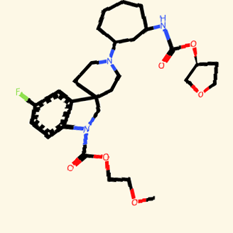 COCCOC(=O)N1CC2(CCN(C3CCCCC(NC(=O)O[C@H]4CCOC4)C3)CC2)c2cc(F)ccc21